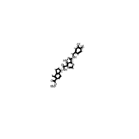 Cc1c(C(=O)OC(C)(C)C)ccc2c1CC[C@@H]2NC(=O)c1ncnc2c(NCc3ccc(F)c(C(F)(F)F)c3)n[nH]c12